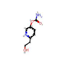 NC(=O)Oc1ccc(CCO)nc1